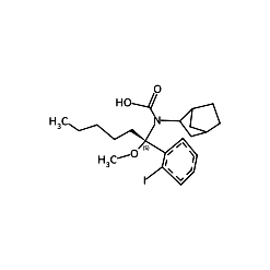 CCCCC[C@](OC)(c1ccccc1I)N(C(=O)O)C1CC2CCC1C2